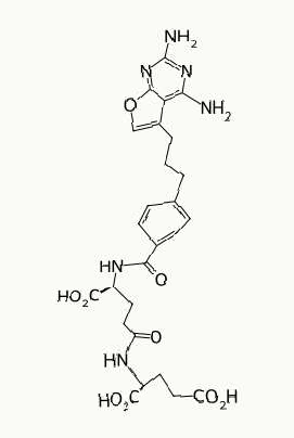 Nc1nc(N)c2c(CCCc3ccc(C(=O)N[C@@H](CCC(=O)N[C@@H](CCC(=O)O)C(=O)O)C(=O)O)cc3)coc2n1